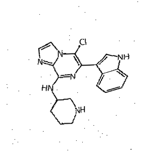 Clc1c(-c2c[nH]c3ccccc23)nc(NC2CCCNC2)c2nccn12